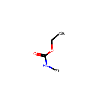 CCNC(=O)OCC(C)(C)C